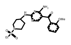 CCS(=O)(=O)N1CCC(Nc2ncc(C(=O)c3ccccc3OC)c(N)n2)CC1